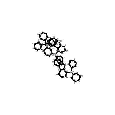 c1ccc(N2c3ccccc3C3(c4ccccc4)c4cc(N(c5ccc6c(c5)C(c5ccccc5)(c5ccccc5)c5ccccc5-6)c5cccc6oc7ccccc7c56)ccc4-c4cccc2c43)cc1